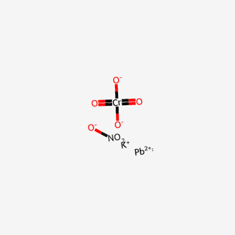 O=[N+]([O-])[O-].[K+].[O]=[Cr](=[O])([O-])[O-].[Pb+2]